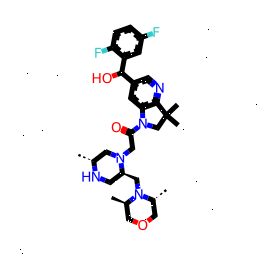 C[C@@H]1CN(CC(=O)N2CC(C)(C)c3ncc(C(O)c4cc(F)ccc4F)cc32)[C@@H](CN2[C@H](C)COC[C@H]2C)CN1